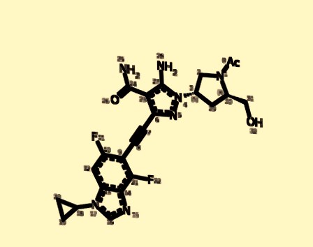 CC(=O)N1C[C@@H](n2nc(C#Cc3c(F)cc4c(ncn4C4CC4)c3F)c(C(N)=O)c2N)C[C@@H]1CO